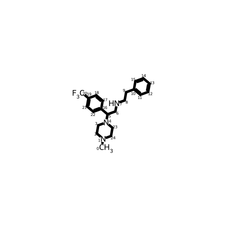 CN1CCN(C(CNCCc2ccccc2)c2ccc(C(F)(F)F)cc2)CC1